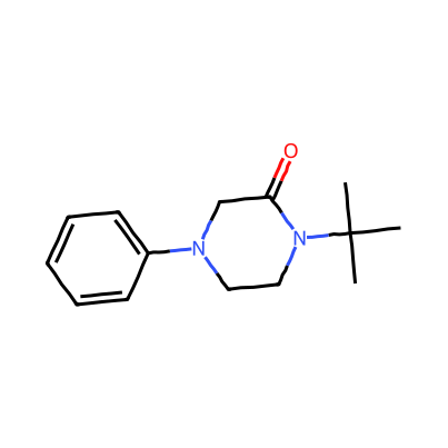 CC(C)(C)N1CCN(c2ccccc2)CC1=O